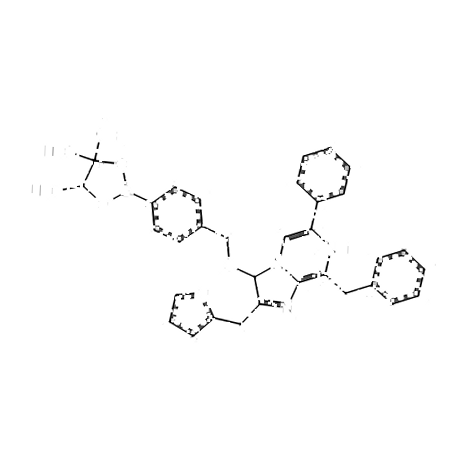 CC1OB(c2ccc(COC3C(Cc4ccco4)=NC4=C(Cc5ccccc5)NC(c5ccccc5)=CN43)cc2)OC1(C)C